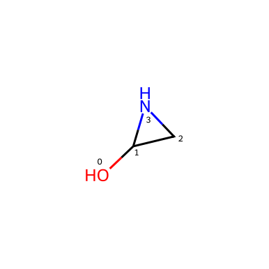 OC1CN1